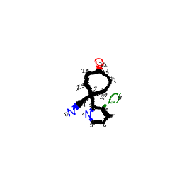 N#CC1(c2ncccc2Cl)CCC(=O)CC1